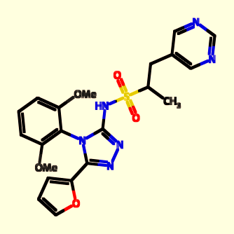 COc1cccc(OC)c1-n1c(NS(=O)(=O)C(C)Cc2cncnc2)nnc1-c1ccco1